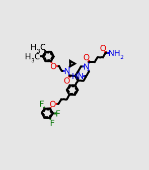 Cc1ccc(OCCN(C(=O)C2=C(c3ccc(CCCOc4c(F)ccc(F)c4F)cc3)CC3CN(C(=O)CCCC(N)=O)CC2N3)C2CC2)cc1C